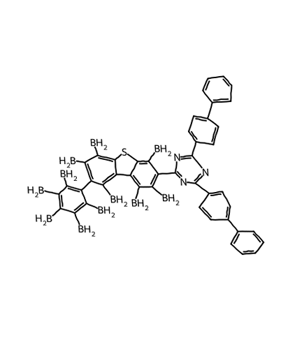 Bc1c(B)c(B)c(-c2c(B)c(B)c3sc4c(B)c(-c5nc(-c6ccc(-c7ccccc7)cc6)nc(-c6ccc(-c7ccccc7)cc6)n5)c(B)c(B)c4c3c2B)c(B)c1B